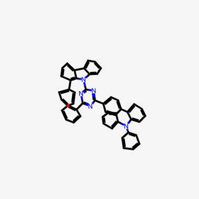 c1ccc(-c2nc(-c3ccc(-c4ccccc4N(c4ccccc4)c4ccccc4)cc3)nc(-n3c4ccccc4c4cccc(-c5ccccc5)c43)n2)cc1